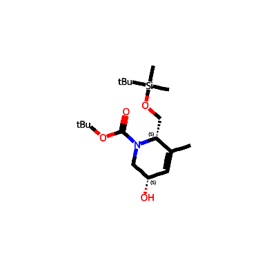 CC1=C[C@H](O)CN(C(=O)OC(C)(C)C)[C@@H]1CO[Si](C)(C)C(C)(C)C